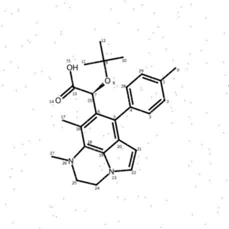 Cc1ccc(-c2c([C@H](OC(C)(C)C)C(=O)O)c(C)c3c4c2ccn4CCN3C)cc1